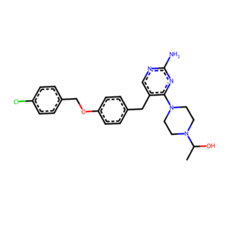 CC(O)N1CCN(c2nc(N)ncc2Cc2ccc(OCc3ccc(Cl)cc3)cc2)CC1